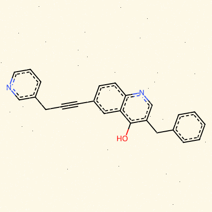 Oc1c(Cc2ccccc2)cnc2ccc(C#CCc3cccnc3)cc12